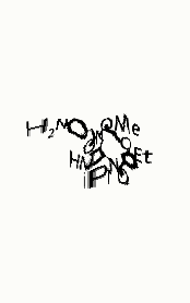 CCc1ccc(C(=O)N(C[C@@H]2CNC[C@H]2CN(C)C(=O)C[C@H]2CC[C@H](N)CC2)C(C)C)cc1OCCCOC